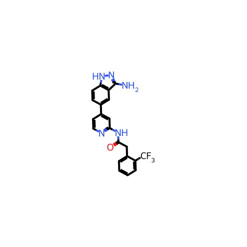 Nc1n[nH]c2ccc(-c3ccnc(NC(=O)Cc4ccccc4C(F)(F)F)c3)cc12